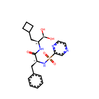 O=C(N[C@@H](CC1CCC1)B(O)O)[C@H](Cc1ccccc1)NS(=O)(=O)c1cnccn1